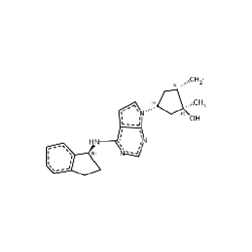 [CH2][C@H]1C[C@@H](n2ccc3c(N[C@H]4CCc5ccccc54)ncnc32)C[C@]1(C)O